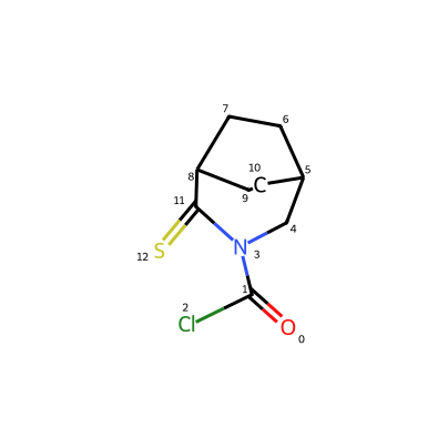 O=C(Cl)N1CC2CCC(CC2)C1=S